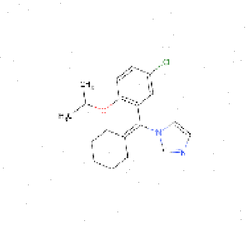 CC(C)Oc1ccc(Cl)cc1C(=C1CCCCC1)n1ccnc1